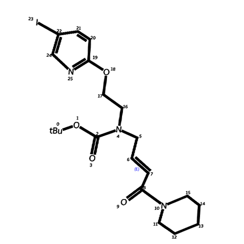 CC(C)(C)OC(=O)N(C/C=C/C(=O)N1CCCCC1)CCOc1ccc(I)cn1